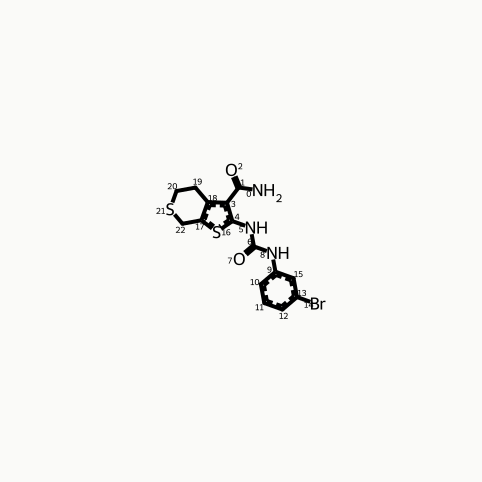 NC(=O)c1c(NC(=O)Nc2cccc(Br)c2)sc2c1CCSC2